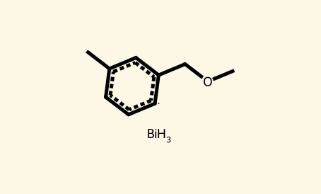 COCc1[c]ccc(C)c1.[BiH3]